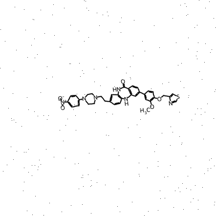 COc1cc(-c2ccc3c(c2)Nc2ccc(CCN4CCN(c5ccc([N+](=O)[O-])cc5)CC4)cc2NC3=O)ccc1OCc1cscn1